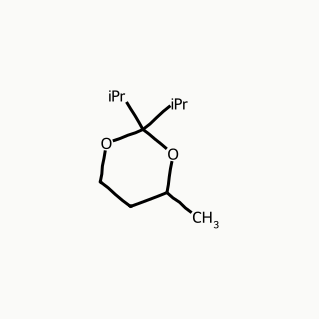 CC1CCOC(C(C)C)(C(C)C)O1